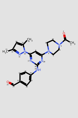 CC(=O)N1CCN(c2cc(-n3nc(C)cc3C)nc(Nc3ccc(C=O)cc3)n2)CC1